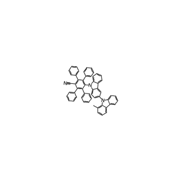 Cc1cccc2c3ccccc3n(-c3ccc4c(c3)c3ccccc3n4-c3c(-c4ccccc4)c(-c4ccccc4)c(C#N)c(-c4ccccc4)c3-c3ccccc3)c12